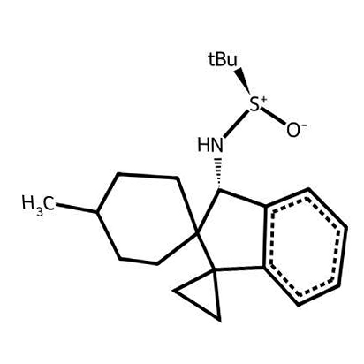 CC1CCC2(CC1)[C@H](N[S@+]([O-])C(C)(C)C)c1ccccc1C21CC1